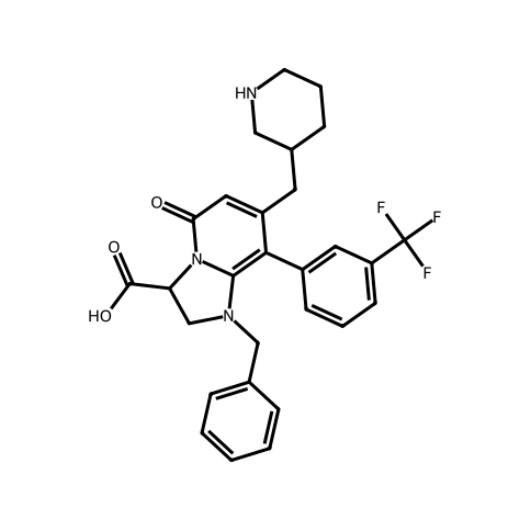 O=C(O)C1CN(Cc2ccccc2)c2c(-c3cccc(C(F)(F)F)c3)c(CC3CCCNC3)cc(=O)n21